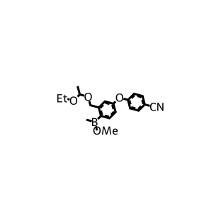 CCOC(C)OCc1cc(Oc2ccc(C#N)cc2)ccc1B(C)OC